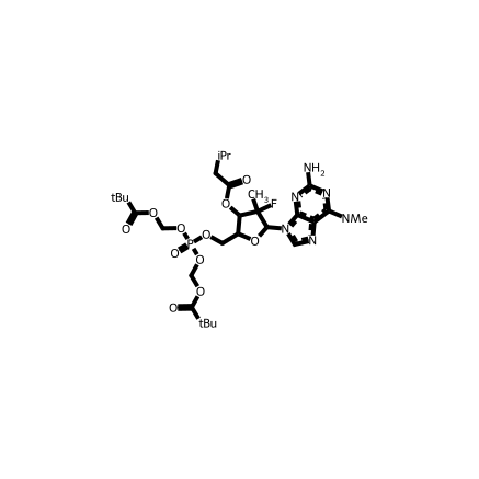 CNc1nc(N)nc2c1ncn2C1OC(COP(=O)(OCOC(=O)C(C)(C)C)OCOC(=O)C(C)(C)C)C(OC(=O)CC(C)C)C1(C)F